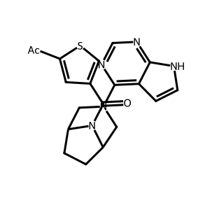 CC(=O)c1cc(C(=O)N2C3CCC2CN(c2ncnc4[nH]ccc24)C3)cs1